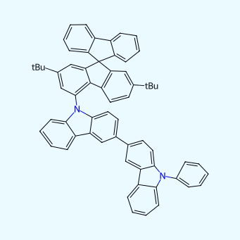 CC(C)(C)c1ccc2c(c1)C1(c3ccccc3-c3ccccc31)c1cc(C(C)(C)C)cc(-n3c4ccccc4c4cc(-c5ccc6c(c5)c5ccccc5n6-c5ccccc5)ccc43)c1-2